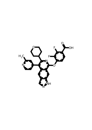 Cc1cc(-c2c(C3CCOCC3)nc(Oc3ccc(C(=O)O)c(F)c3F)c3cc4[nH]ncc4cc23)ccn1